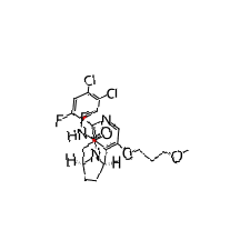 COCCCOc1cnc(F)c2c1[C@H]1CC[C@@H](C2)N1C(=O)Nc1cc(Cl)c(Cl)cc1F